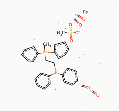 CS(=O)(=O)[O-].C[P+](CCP(c1ccccc1)c1ccccc1)(c1ccccc1)c1ccccc1.[C]=O.[C]=O.[C]=O.[C]=O.[Fe]